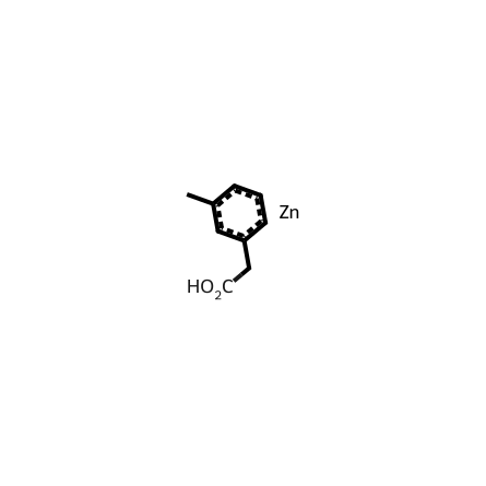 Cc1cccc(CC(=O)O)c1.[Zn]